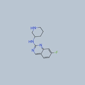 Fc1ccc2cnc(NC3CCCNC3)nc2c1